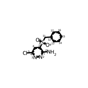 Nc1nnc(Cl)cc1S(=O)(=O)Cc1ccccc1